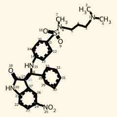 CN(C)CCCN(C)S(=O)(=O)c1ccc(N/C(=C2\C(=O)Nc3ccc([N+](=O)[O-])cc32)c2ccccc2)cc1